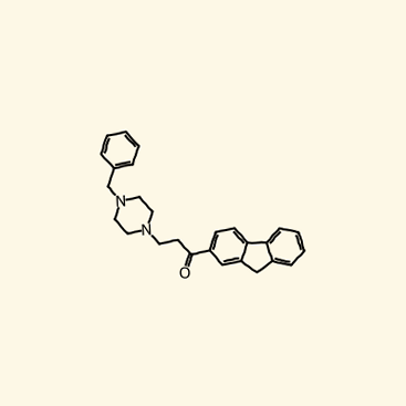 O=C(CCN1CCN(Cc2ccccc2)CC1)c1ccc2c(c1)Cc1ccccc1-2